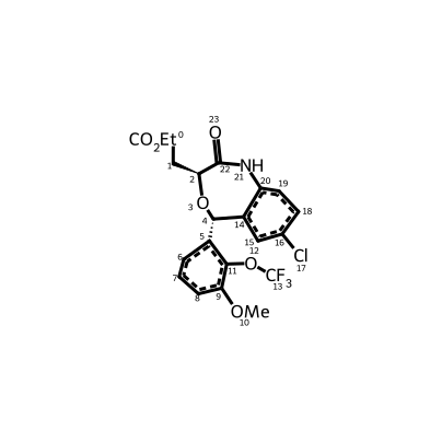 CCOC(=O)C[C@@H]1O[C@@H](c2cccc(OC)c2OC(F)(F)F)c2cc(Cl)ccc2NC1=O